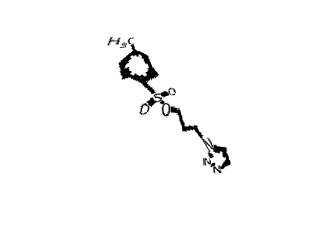 Cc1ccc(S(=O)(=O)OCCCn2ccnn2)cc1